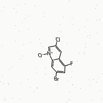 [O-][n+]1cc(Cl)cc2c(F)cc(Br)cc21